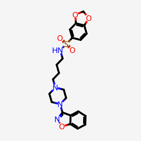 O=S(=O)(NCCCCN1CCN(c2noc3ccccc23)CC1)c1ccc2c(c1)OCO2